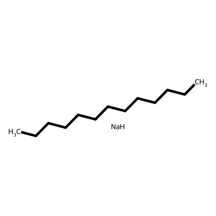 CCCCCCCCCCCCC.[NaH]